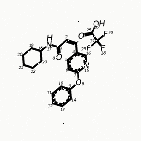 O=C(/C=C\c1ccc(Oc2ccccc2)nc1)NC1CCCCC1.O=C(O)C(F)(F)F